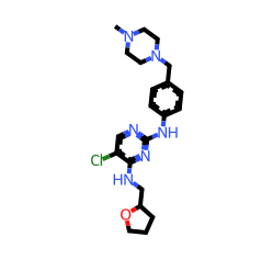 CN1CCN(Cc2ccc(Nc3ncc(Cl)c(NCC4CCCO4)n3)cc2)CC1